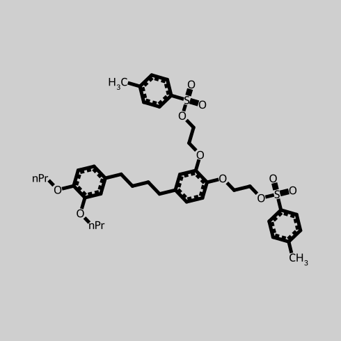 CCCOc1ccc(CCCCc2ccc(OCCOS(=O)(=O)c3ccc(C)cc3)c(OCCOS(=O)(=O)c3ccc(C)cc3)c2)cc1OCCC